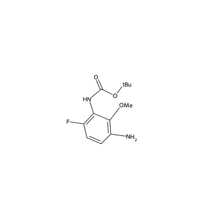 COc1c(N)ccc(F)c1NC(=O)OC(C)(C)C